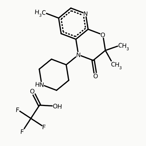 Cc1cnc2c(c1)N(C1CCNCC1)C(=O)C(C)(C)O2.O=C(O)C(F)(F)F